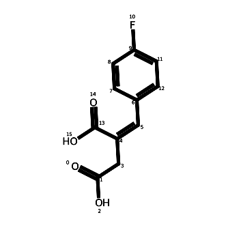 O=C(O)CC(=Cc1ccc(F)cc1)C(=O)O